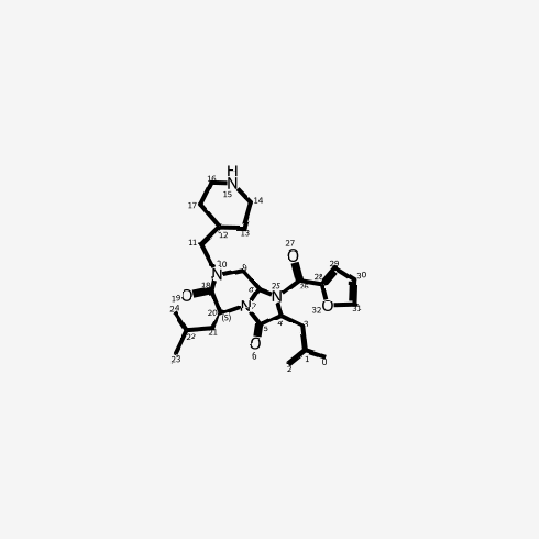 CC(C)CC1C(=O)N2C(CN(CC3CCNCC3)C(=O)[C@@H]2CC(C)C)N1C(=O)c1ccco1